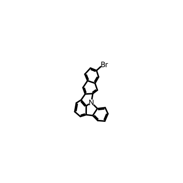 Brc1ccc2cc3c4cccc5c6ccccc6n(c3cc2c1)c54